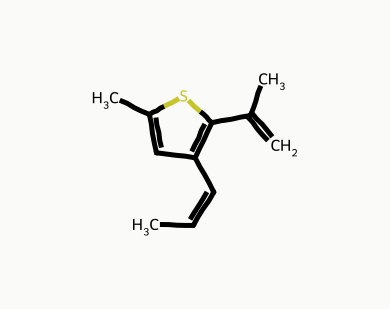 C=C(C)c1sc(C)cc1/C=C\C